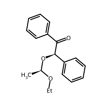 CCO[C@@H](C)O[C@@H](C(=O)c1ccccc1)c1ccccc1